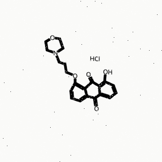 Cl.O=C1c2cccc(O)c2C(=O)c2c(OCCCN3CCOCC3)cccc21